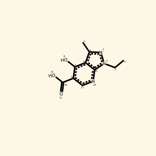 CCn1nc(C)c2c(O)c(C(=O)O)cnc21